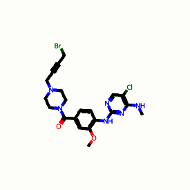 CNc1nc(Nc2ccc(C(=O)N3CCN(CC#CCBr)CC3)cc2OC)ncc1Cl